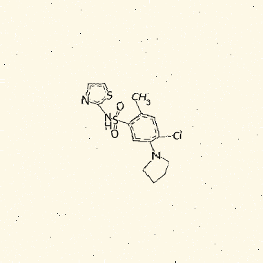 Cc1cc(Cl)c(N2CCCC2)cc1S(=O)(=O)Nc1nccs1